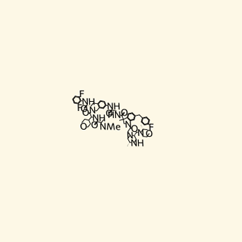 CN[C@@H](C)C(=O)NC(C(=O)N1Cc2cc(NC(=O)CNC(=O)C3(C)CN(C(=O)CN4C[C@@H](C)NC[C@@H]4CN4CCOC[C@H]4C)c4cc(Cc5ccc(F)cc5)ccc43)ccc2C[C@H]1C(=O)Nc1c(F)cccc1F)C1CCOCC1